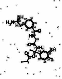 CCC(=O)OC(C)(NC(=O)CNC(=O)c1cccc(NC(=N)N)c1)c1ccc(C)c(S)c1